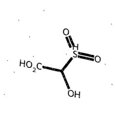 O=C(O)C(O)[SH](=O)=O